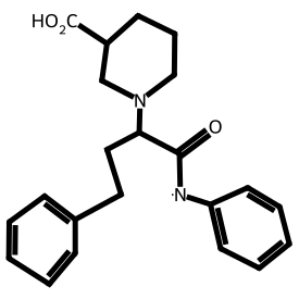 O=C(O)C1CCCN(C(CCc2ccccc2)C(=O)[N]c2ccccc2)C1